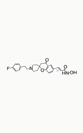 O=C(/C=C/c1ccc2c(c1)C(=O)CC1(CCN(CCc3ccc(F)cc3)CC1)O2)NO